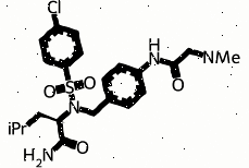 CNCC(=O)Nc1ccc(CN([C@H](CC(C)C)C(N)=O)S(=O)(=O)c2ccc(Cl)cc2)cc1